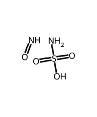 N=O.NS(=O)(=O)O